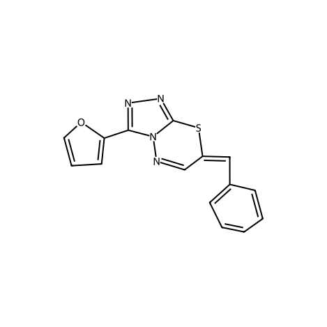 C1=Nn2c(nnc2-c2ccco2)SC1=Cc1ccccc1